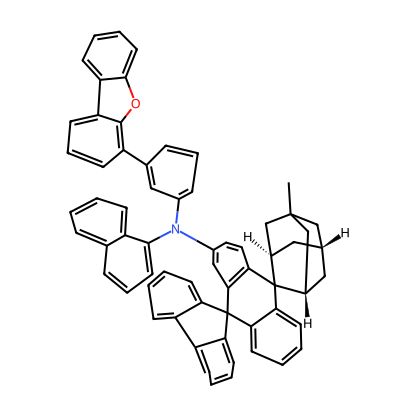 CC12C[C@H]3C[C@H](C1)C1(c4ccccc4C4(c5ccccc5-c5ccccc54)c4cc(N(c5cccc(-c6cccc7c6oc6ccccc67)c5)c5cccc6ccccc56)ccc41)[C@@H](C3)C2